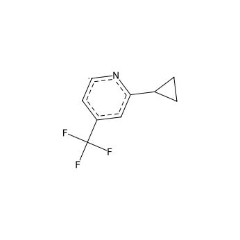 FC(F)(F)c1c[c]nc(C2CC2)c1